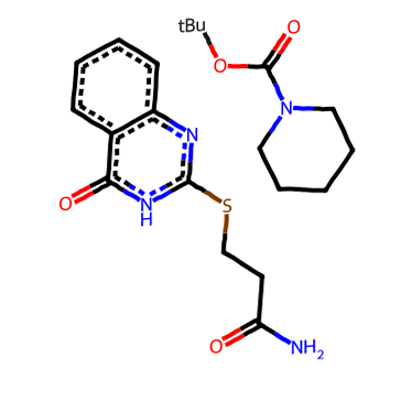 CC(C)(C)OC(=O)N1CCCCC1.NC(=O)CCSc1nc2ccccc2c(=O)[nH]1